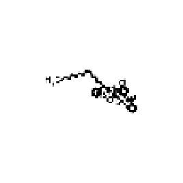 CCCCCCCC/C=C\CCCCC(CC(S)NC(=O)CSc1nc2ccccc2c(=O)n1-c1ccc(Cl)c(Cl)c1)c1ccccc1